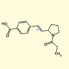 CCC(=O)N1CCCC1/C=C/c1ccc(C(=O)O)cc1